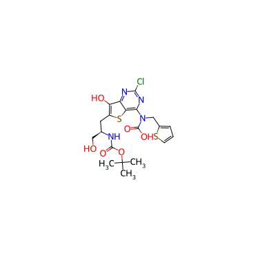 CC(C)(C)OC(=O)N[C@@H](CO)Cc1sc2c(N(Cc3cccs3)C(=O)O)nc(Cl)nc2c1O